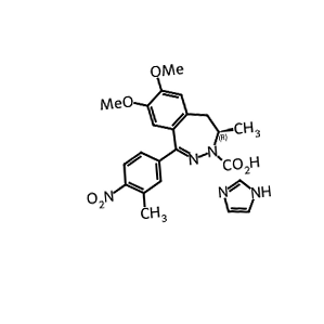 COc1cc2c(cc1OC)C(c1ccc([N+](=O)[O-])c(C)c1)=NN(C(=O)O)[C@H](C)C2.c1c[nH]cn1